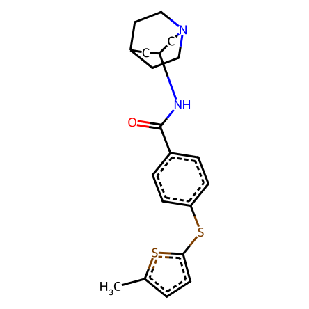 Cc1ccc(Sc2ccc(C(=O)NC3CC4CCN(CC4)C3)cc2)s1